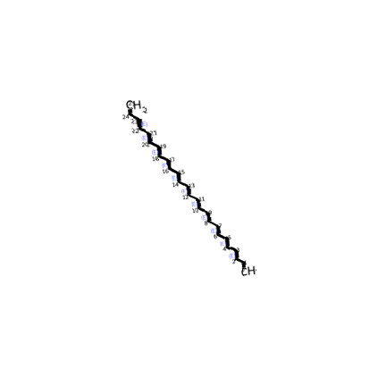 [CH]=C/C=C/C=C/C=C/C=C/C=C/C=C/C=C/C=C/C=C/C=C/C=C/C=C